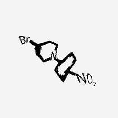 O=[N+]([O-])c1ccc(N2CCC(Br)CC2)cc1